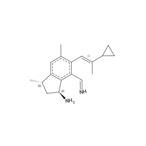 C/C(=C\c1c(C)cc2c(c1C=N)[C@@H](N)C[C@@H]2C)C1CC1